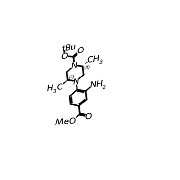 COC(=O)c1ccc(N2C[C@@H](C)N(C(=O)OC(C)(C)C)C[C@@H]2C)c(N)c1